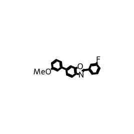 COc1cccc(-c2ccc3nc(-c4cccc(F)c4)oc3c2)c1